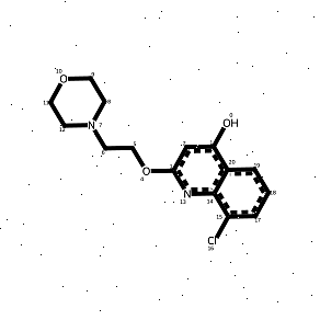 Oc1cc(OCCN2CCOCC2)nc2c(Cl)cccc12